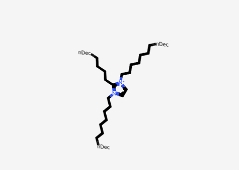 CCCCCCCCCCCCCCCCCn1cc[n+](CCCCCCCCCCCCCCCCC)c1CCCCCCCCCCCCCC